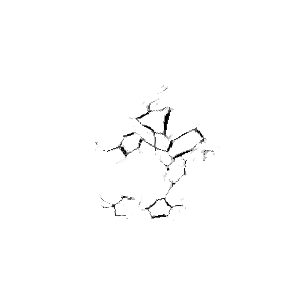 COc1ccc(C(NC2=N[C@](C)(c3cc(B4OCC(C)(C)CO4)ccc3F)C[C@@H](C(F)(F)F)O2)(c2ccccc2)c2ccc(OC)cc2)cc1